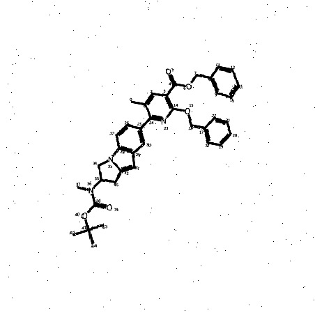 Cc1cc(C(=O)OCc2ccccc2)c(OCc2ccccc2)nc1-c1ccc2c(c1)cc1n2CC(N(C)C(=O)OC(C)(C)C)C1